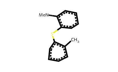 CNc1ccccc1Sc1ccccc1C